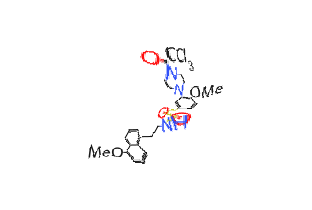 COc1ccc(S(=O)(=O)NCCc2cccc3c(OC)cccc23)cc1N1CCN(C(=O)C(Cl)(Cl)Cl)CC1